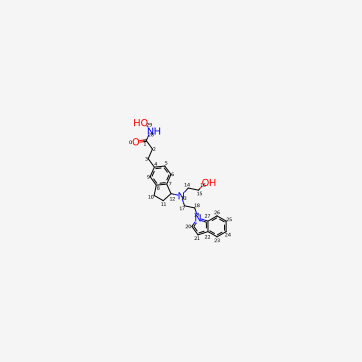 O=C(CCc1ccc2c(c1)CCC2N(CCO)CCn1ccc2ccccc21)NO